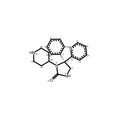 O=C1NC[C@](c2ccccc2)(c2ccccn2)N1C1CCNCC1